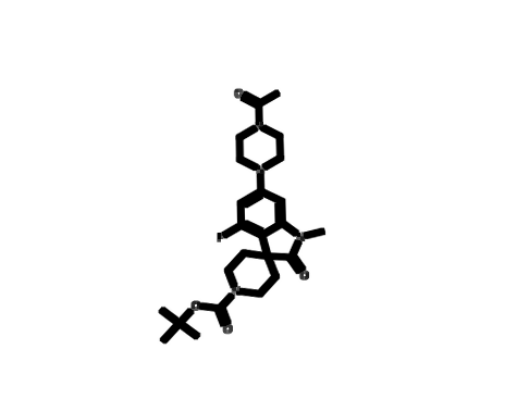 CC(=O)N1CCN(c2cc(F)c3c(c2)N(C)C(=O)C32CCN(C(=O)OC(C)(C)C)CC2)CC1